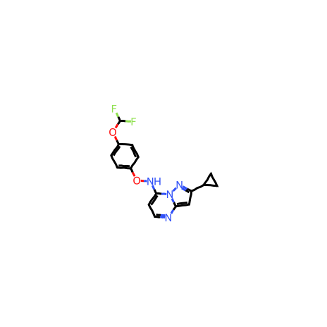 FC(F)Oc1ccc(ONc2ccnc3cc(C4CC4)nn23)cc1